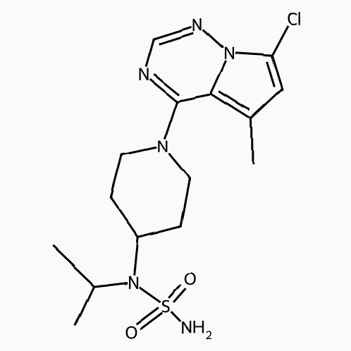 Cc1cc(Cl)n2ncnc(N3CCC(N(C(C)C)S(N)(=O)=O)CC3)c12